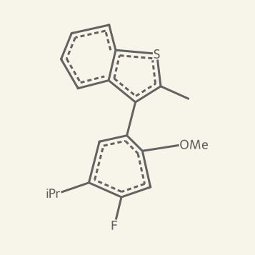 COc1cc(F)c(C(C)C)cc1-c1c(C)sc2ccccc12